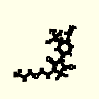 CC1(C)C(=O)N(c2ccc(C#N)c(C(F)(F)F)c2)C(=O)N1CCOCCBr